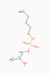 CCCCCCCCCCCCOS(=O)(=O)ONC(C)O